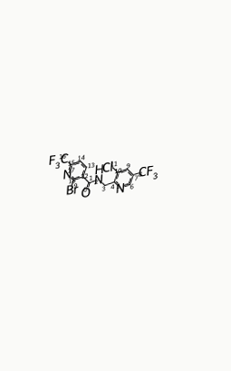 O=C(NCc1ncc(C(F)(F)F)cc1Cl)c1ccc(C(F)(F)F)nc1Br